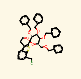 ClCc1cccc2c3c(sc12)[C@@]1(OCC3)O[C@H](COCc2ccccc2)[C@H](OCc2ccccc2)[C@H](OCc2ccccc2)[C@H]1OCc1ccccc1